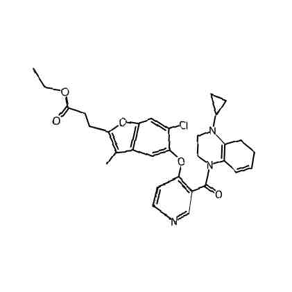 CCOC(=O)CCc1oc2cc(Cl)c(Oc3ccncc3C(=O)N3CCN(C4CC4)C4=C3C=CCC4)cc2c1C